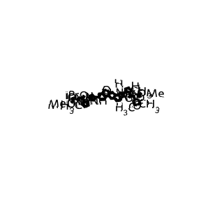 COC(=O)N[C@H](C(=O)N1[C@@H](C)CC[C@H]1c1ncc(-c2ccc3c(c2)COc2cc4c(ccc5nc(C6CC[C@H](C)N6C(=O)[C@@H](NC(=O)OC)C6C[C@@H](C)O[C@H](C)C6)[nH]c54)cc2-3)[nH]1)C(C)C